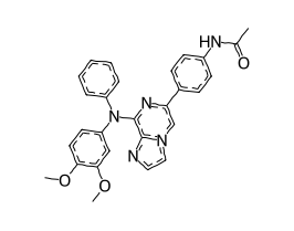 COc1ccc(N(c2ccccc2)c2nc(-c3ccc(NC(C)=O)cc3)cn3ccnc23)cc1OC